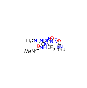 CNC/C=C/C(=O)Nc1cc(N[C@@H]2CCN(C)C[C@@H]2F)c2nc(-c3noc(CNC(=O)c4cnn(C(C)(C)C)c4)n3)c(CC(F)(F)F)n2c1